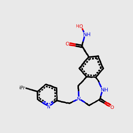 CC(C)c1ccc(CN2CC(=O)Nc3ccc(C(=O)NO)cc3C2)nc1